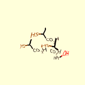 CC(S)C(=O)O.CC(S)C(=O)O.CC(S)C(=O)O.CCCO